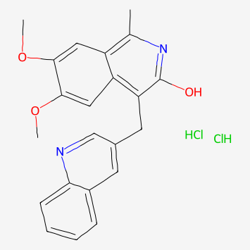 COc1cc2c(C)nc(O)c(Cc3cnc4ccccc4c3)c2cc1OC.Cl.Cl